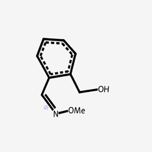 CO/N=C\c1ccccc1CO